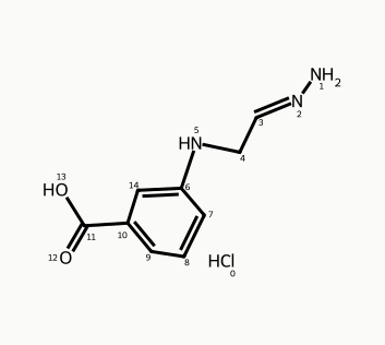 Cl.NN=CCNc1cccc(C(=O)O)c1